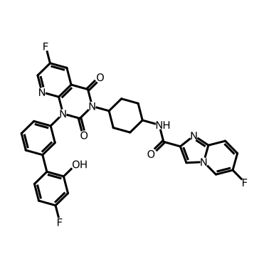 O=C(NC1CCC(n2c(=O)c3cc(F)cnc3n(-c3cccc(-c4ccc(F)cc4O)c3)c2=O)CC1)c1cn2cc(F)ccc2n1